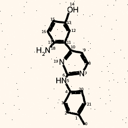 Cc1ccc(Nc2nccc(-c3cc(O)ccc3N)n2)cc1